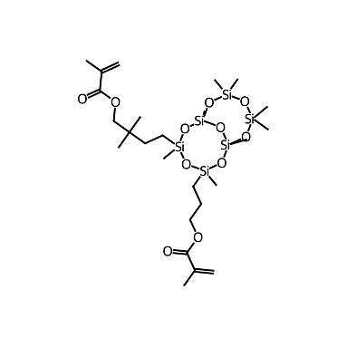 C=C(C)C(=O)OCCC[Si]1(C)O[Si](C)(CCC(C)(C)COC(=O)C(=C)C)O[Si]2(C)O[Si](C)(C)O[Si](C)(C)O[Si](C)(O1)O2